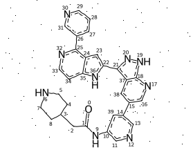 O=C(CC1CCNCC1)Nc1cncc(-c2cnc3[nH]nc(-c4cc5c(-c6cccnc6)nccc5[nH]4)c3c2)c1